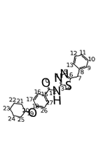 O=C(Nc1nnc(Cc2ccccc2)s1)c1ccc(OC2CCCCC2)cc1